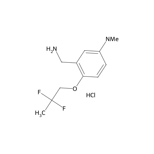 CNc1ccc(OCC(C)(F)F)c(CN)c1.Cl